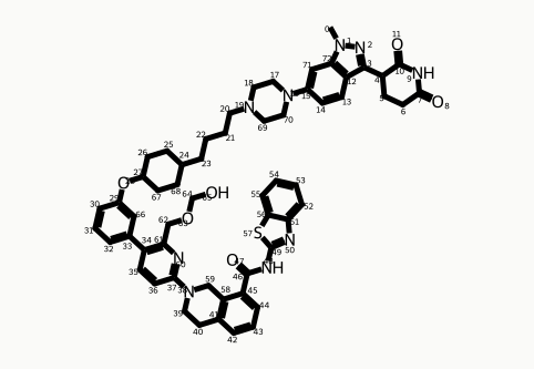 Cn1nc(C2CCC(=O)NC2=O)c2ccc(N3CCN(CCCCC4CCC(Oc5cccc(-c6ccc(N7CCc8cccc(C(=O)Nc9nc%10ccccc%10s9)c8C7)nc6COCO)c5)CC4)CC3)cc21